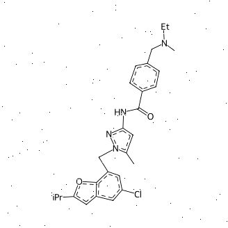 CCN(C)Cc1ccc(C(=O)Nc2cc(C)n(Cc3cc(Cl)cc4cc(C(C)C)oc34)n2)cc1